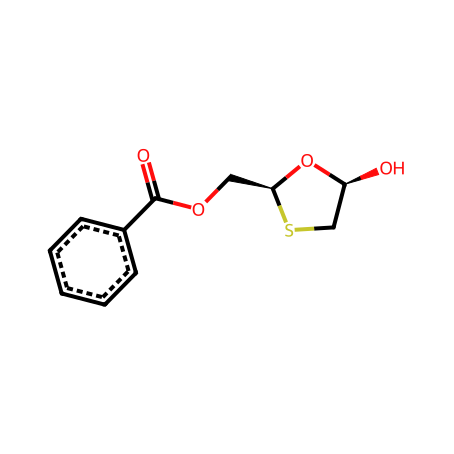 O=C(OC[C@H]1O[C@@H](O)CS1)c1ccccc1